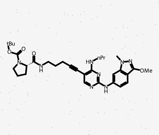 CCCNc1nc(Nc2ccc3c(OC)nn(C)c3c2)ncc1C#CCCCNC(=O)[C@@H]1CCCN1C(=O)OC(C)(C)C